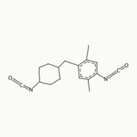 Cc1cc(N=C=O)c(C)cc1CC1CCC(N=C=O)CC1